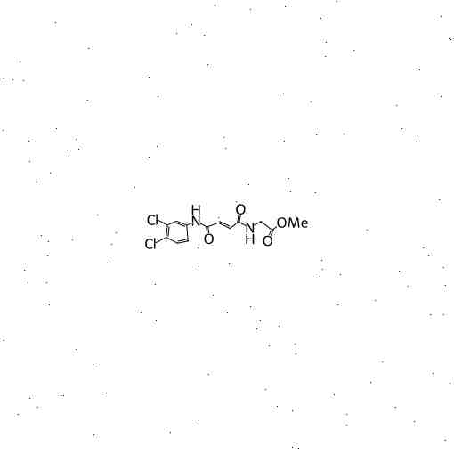 COC(=O)CNC(=O)C=CC(=O)Nc1ccc(Cl)c(Cl)c1